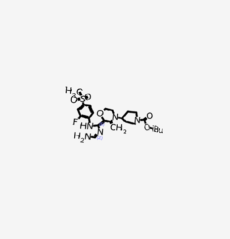 C=C1/C(=C(\N=C/N)Nc2ccc(S(C)(=O)=O)cc2F)OCCN1C1CCN(C(=O)OC(C)CC)CC1